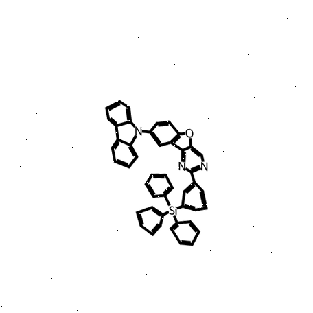 c1ccc([Si](c2ccccc2)(c2ccccc2)c2cccc(-c3ncc4oc5ccc(-n6c7ccccc7c7ccccc76)cc5c4n3)c2)cc1